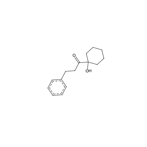 O=C(CCc1ccccc1)C1(O)CCCCC1